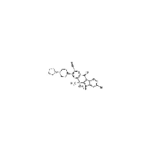 CC1(C)c2cc(N3CCC(N4CCCC4)CC3)c(C#N)cc2C(=O)c2c1[nH]c1cc(Br)ccc21